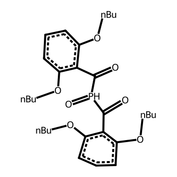 CCCCOc1cccc(OCCCC)c1C(=O)[PH](=O)C(=O)c1c(OCCCC)cccc1OCCCC